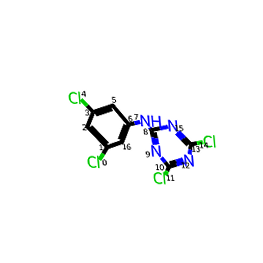 Clc1cc(Cl)cc(Nc2nc(Cl)nc(Cl)n2)c1